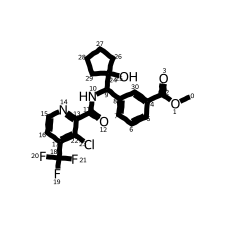 COC(=O)c1cccc(C(NC(=O)c2nccc(C(F)(F)F)c2Cl)C2(O)CCCC2)c1